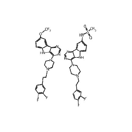 CS(=O)(=O)Nc1ccc2[nH]c3c(N4CCN(CCc5ccc(F)c(F)c5)CC4)ncnc3c2c1.Fc1ccc(CCN2CCN(c3ncnc4c3[nH]c3ccc(OC(F)(F)F)cc34)CC2)cc1F